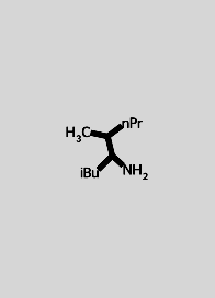 CCCC(C)C(N)C(C)CC